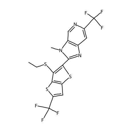 CCSc1c(-c2nc3cc(C(F)(F)F)ncc3n2C)sc2cc(C(F)(F)F)sc12